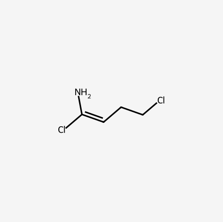 N/C(Cl)=C\CCCl